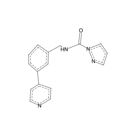 O=C(NCc1cccc(-c2ccncc2)c1)n1cccn1